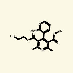 CSc1ncccc1-c1c(C(=O)OCCO)c(C)nc(C)c1C(=O)OC(C)C